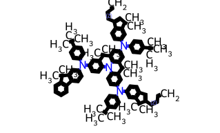 C=C/C=C\C1=CC(C)(C)c2cc(N(c3ccc(C(C)(C)C)cc3)c3cc4c5c(c3)C(C)(C)c3cc(N(c6ccc(C(C)(C)C)cc6)c6ccc7c(c6)C(C)(C)c6ccccc6-7)ccc3N5c3ccc(N(c5ccc(C(C)(C)C)cc5)c5ccc6c(c5)C(C)(C)C(/C=C\C=C)=C6)cc3C4(C)C)ccc21